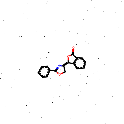 O=C1OC(=C2COC(c3ccccc3)=N2)c2ccccc21